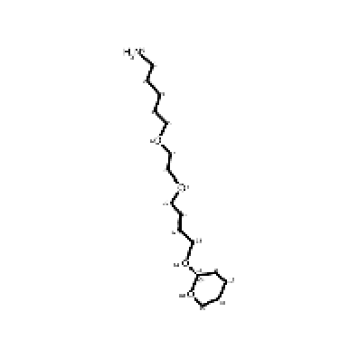 NCCCCCOCCOCCCCO[C@H]1CCCCO1